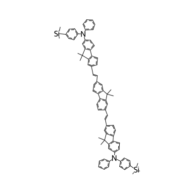 CC1(C)c2cc(/C=C/c3ccc4c(c3)C(C)(C)c3cc(N(c5ccccc5)c5ccc([Si](C)(C)C)cc5)ccc3-4)ccc2-c2ccc(/C=C/c3ccc4c(c3)C(C)(C)c3cc(N(c5ccccc5)c5ccc([Si](C)(C)C)cc5)ccc3-4)cc21